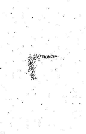 O=P([O-])([O-])[O-].O=P([O-])([O-])[O-].O=P([O-])([O-])[O-].O=P([O-])([O-])[O-].[Co].[Co].[Co].[Ni].[Ni].[Ni].[Ti].[Ti].[Ti].[Zr+4].[Zr+4].[Zr+4]